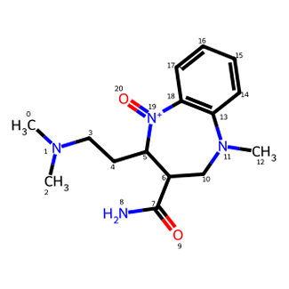 CN(C)CCC1C(C(N)=O)CN(C)c2ccc[c]c2[N+]1=O